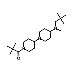 CN(CC(C)(C)C)C1CCN(C2CCN(C(=O)C(C)(C)C)CC2)CC1